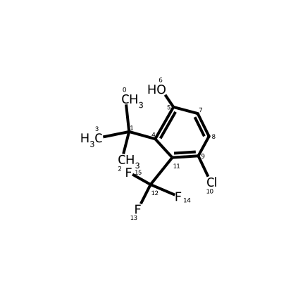 CC(C)(C)c1c(O)ccc(Cl)c1C(F)(F)F